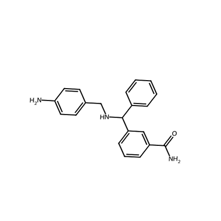 NC(=O)c1cccc(C(NCc2ccc(N)cc2)c2ccccc2)c1